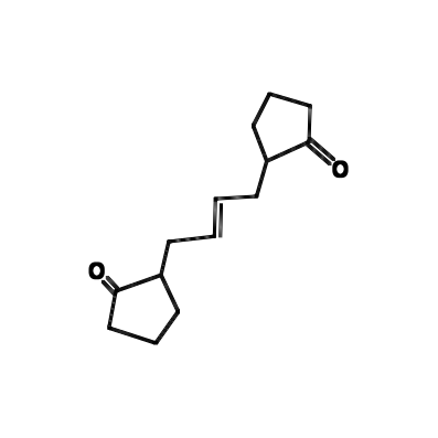 O=C1CCCC1CC=CCC1CCCC1=O